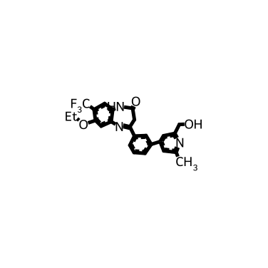 CCOc1cc2c(cc1C(F)(F)F)NC(=O)CC(c1cccc(-c3cc(C)nc(CO)c3)c1)=N2